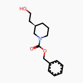 O=C(OCc1ccccc1)N1CCC[C@H](CCO)C1